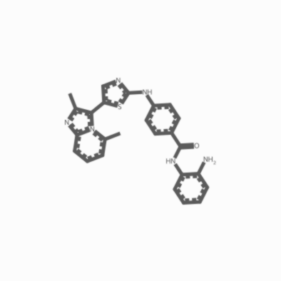 Cc1nc2cccc(C)n2c1-c1cnc(Nc2ccc(C(=O)Nc3ccccc3N)cc2)s1